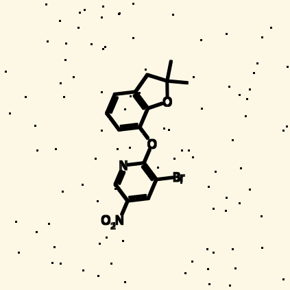 CC1(C)Cc2cccc(Oc3ncc([N+](=O)[O-])cc3Br)c2O1